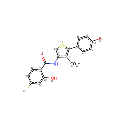 O=C(Nc1csc(-c2ccc(Br)cc2)c1C(=O)O)c1ccc(F)cc1O